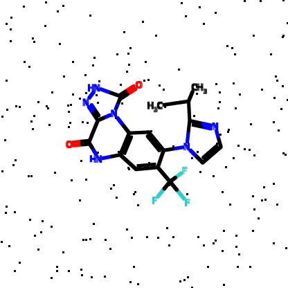 CC(C)c1nccn1-c1cc2c(cc1C(F)(F)F)[nH]c(=O)c1n[nH]c(=O)n12